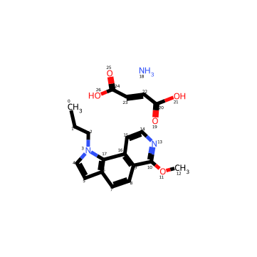 CCCn1ccc2ccc3c(OC)nccc3c21.N.O=C(O)C=CC(=O)O